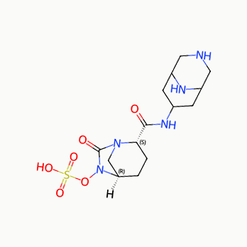 O=C(NC1CC2CNCC(C1)N2)[C@@H]1CC[C@@H]2CN1C(=O)N2OS(=O)(=O)O